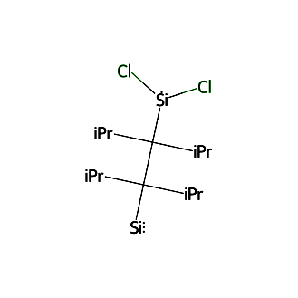 CC(C)C([Si])(C(C)C)C(C(C)C)(C(C)C)[Si](Cl)Cl